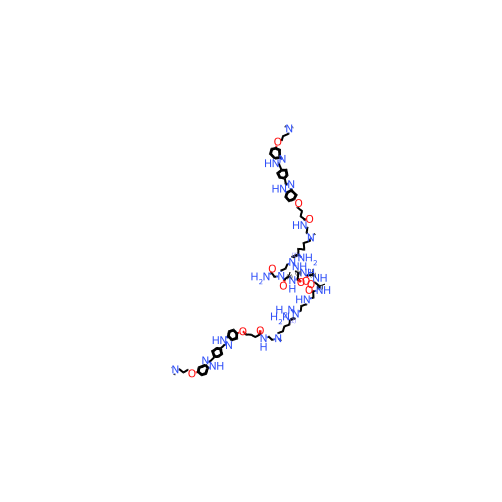 C[C@@H](NC(=O)CNCCCN(N)/C=C(\N)CCCCN(C)CCNC(=O)CCCOc1ccc2[nH]c(-c3ccc(-c4nc5cc(OCCCN(C)C)ccc5[nH]4)cc3)nc2c1)C(=O)N[C@H](C)C(=O)N[C@H](C)C(=O)N[C@H](C)C(=O)N(CCCN(N)/C=C(\N)CCCCN(C)CCNC(=O)CCCOc1ccc2[nH]c(-c3ccc(-c4nc5cc(OCCCN(C)C)ccc5[nH]4)cc3)nc2c1)CC(N)=O